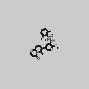 COc1ncc(-c2ccc3nccc(=O)n3c2C)cc1NS(=O)(=O)c1c(F)cccc1F